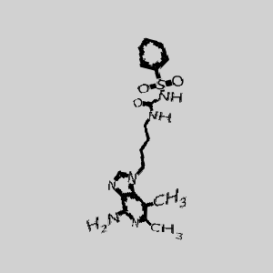 Cc1nc(N)c2ncn(CCCCNC(=O)NS(=O)(=O)c3ccccc3)c2c1C